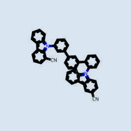 N#Cc1ccc2c(c1)c1ccccc1n2-c1ccccc1-c1cc(-c2cccc(-n3c4ccccc4c4cccc(C#N)c43)c2)ccc1C#N